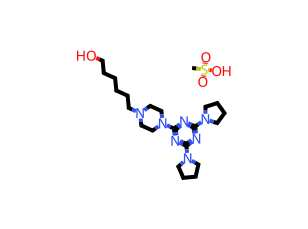 CS(=O)(=O)O.OCCCCCCN1CCN(c2nc(N3CCCC3)nc(N3CCCC3)n2)CC1